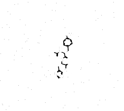 COc1ccc(C[C@H](NC(=O)C(C)C)C(=O)N[C@@H](Cc2c[nH]cn2)C(N)=O)cc1